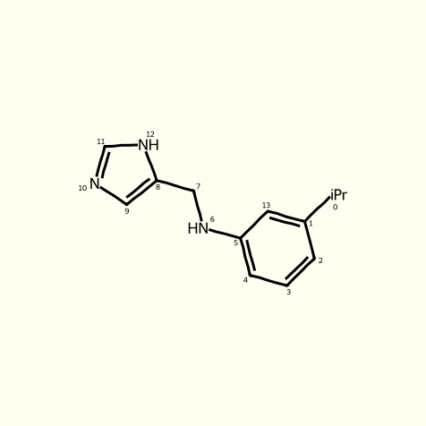 CC(C)c1cccc(NCc2cnc[nH]2)c1